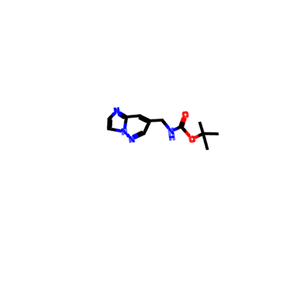 CC(C)(C)OC(=O)NCc1cnn2ccnc2c1